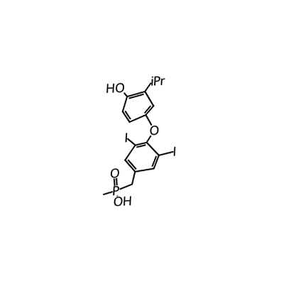 CC(C)c1cc(Oc2c(I)cc(CP(C)(=O)O)cc2I)ccc1O